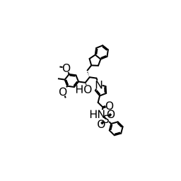 COc1cc([C@@H](O)[C@H](CC2Cc3ccccc3C2)Cn2ccc(CC(=O)NS(=O)(=O)c3ccccc3)c2)cc(OC)c1C